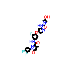 Cc1cc(=O)n(-c2ccc(F)c(F)c2)nc1C(=O)Nc1ccc(Oc2ccnc(NC(=O)N3CC(O)C3)c2)c(F)c1